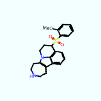 COc1ccccc1S(=O)(=O)C1CCn2c3c(c4cccc1c42)CCNCC3